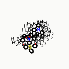 Bc1c(B)c(B)c(-c2cc(S(c3ccccc3)(c3ccccc3)c3ccccc3)cc(-c3c(B)c(B)c(B)c(B)c3B)c2-n2c3ccccc3c3cc(-c4c(B)c(B)c5c6c(B)c(B)c(B)c(B)c6n(-c6c(B)c(B)c(B)c(B)c6B)c5c4B)ccc32)c(B)c1B